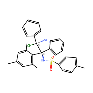 Cc1ccc(S(=O)(=O)N[C@@](c2ccccc2)(c2c(C)cc(C)cc2C)[C@@](N)(Cl)c2ccccc2)cc1